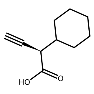 C#C[C@H](C(=O)O)C1CCCCC1